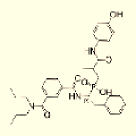 CCCN(CCC)C(=O)c1cccc(C(=O)N[C@@H](Cc2ccccc2)P(=O)(O)CC(C)C(=O)Nc2ccc(O)cc2)c1